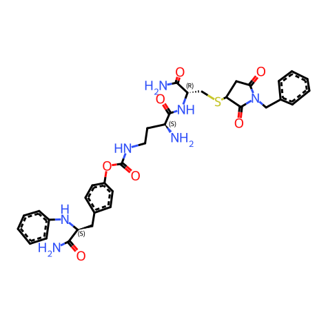 NC(=O)[C@H](CSC1CC(=O)N(Cc2ccccc2)C1=O)NC(=O)[C@@H](N)CCNC(=O)Oc1ccc(C[C@H](Nc2ccccc2)C(N)=O)cc1